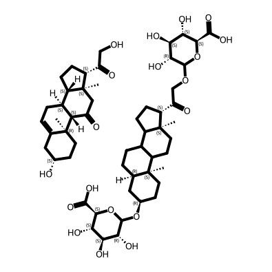 C[C@]12CC(=O)[C@H]3[C@@H](CC=C4C[C@@H](O)CC[C@@]43C)[C@@H]1CC[C@@H]2C(=O)CO.C[C@]12CCC3C(CC[C@@H]4C[C@H](OC5O[C@H](C(=O)O)[C@@H](O)[C@H](O)[C@H]5O)CC[C@]34C)C1CC[C@@H]2C(=O)COC1O[C@H](C(=O)O)[C@@H](O)[C@H](O)[C@H]1O